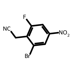 N#CCc1c(F)cc([N+](=O)[O-])cc1Br